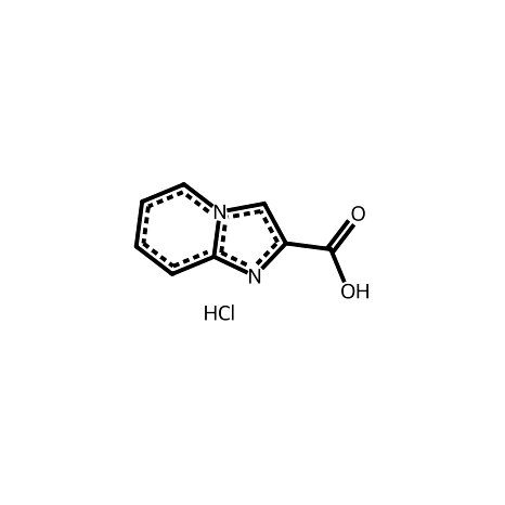 Cl.O=C(O)c1cn2ccccc2n1